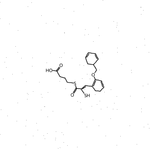 O=C(O)CCCSC(=O)/C(S)=C/C1=C(OCC2C=CC=CC2)C=CCC1